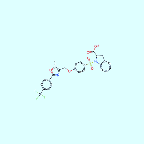 Cc1oc(-c2ccc(C(F)(F)F)cc2)nc1COc1ccc(S(=O)(=O)N2c3ccccc3CC2C(=O)O)cc1